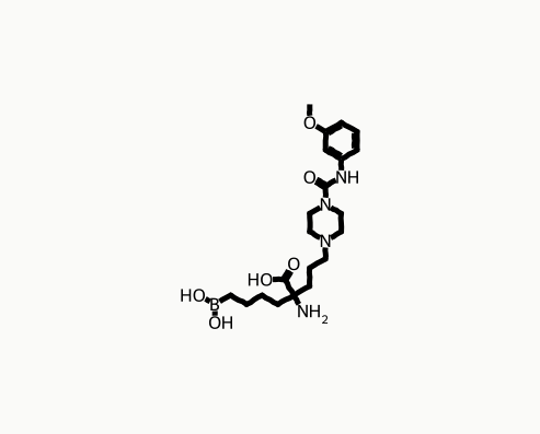 COc1cccc(NC(=O)N2CCN(CCCC(N)(CCCCB(O)O)C(=O)O)CC2)c1